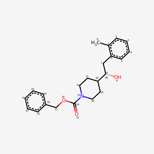 Cc1ccccc1C[C@H](O)C1CCN(C(=O)OCc2ccccc2)CC1